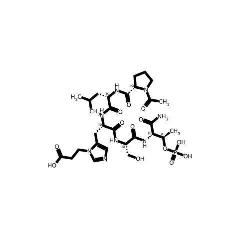 CC(=O)N1CCC[C@H]1C(=O)N[C@@H](CC(C)C)C(=O)N[C@@H](Cc1cncn1CCC(=O)O)C(=O)N[C@@H](CO)C(=O)N[C@H](C(N)=O)[C@@H](C)OP(=O)(O)O